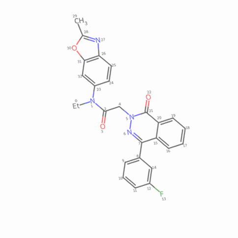 CCN(C(=O)Cn1nc(-c2cccc(F)c2)c2ccccc2c1=O)c1ccc2nc(C)oc2c1